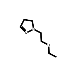 CCOCCN1CCC=N1